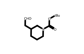 CC(C)(C)OC(=O)N1CCCC(C[C]=O)C1